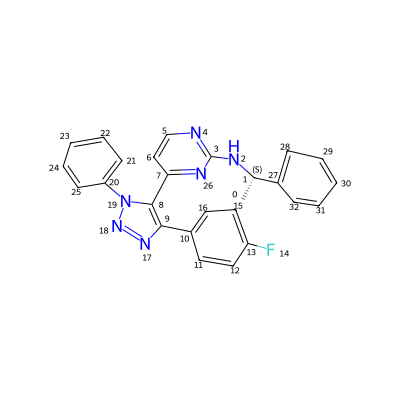 C[C@H](Nc1nccc(-c2c(-c3ccc(F)cc3)nnn2-c2ccccc2)n1)c1ccccc1